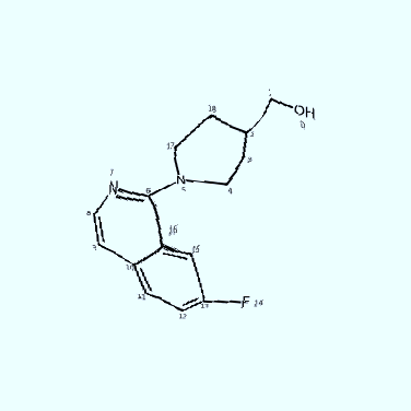 OCC1CCN(c2nccc3ccc(F)cc23)CC1